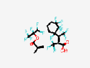 C=C(C)C(=O)OC(F)(C(F)F)C(F)(F)F.O=C(O)C(=C(C(F)(F)F)C1(F)CCCC(F)(F)C1(F)F)C(F)(F)F